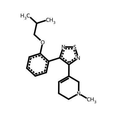 CC(C)COc1ccccc1-c1nsnc1C1=CCCN(C)C1